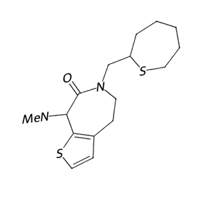 CNC1C(=O)N(CC2CCCCCS2)CCc2ccsc21